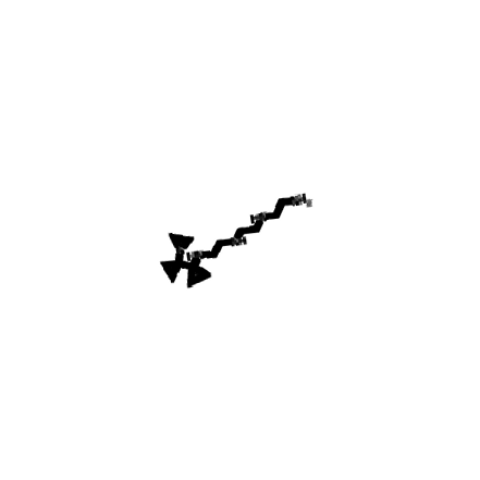 NCCNCCNCCNC1(C2(N3CC3)CC2)CC1